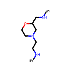 CC(C)NCCN1CCOC(CNC(C)C)C1